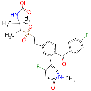 CC(C(C)(C)NC(=O)O)S(=O)(=O)CCc1ccc(C(=O)c2ccc(F)cc2)c(-c2cn(C)c(=O)cc2F)c1